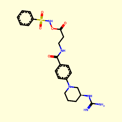 N=C(N)N[C@H]1CCCN(c2ccc(C(=O)NCCC(=O)ONS(=O)(=O)c3ccccc3)cc2)C1